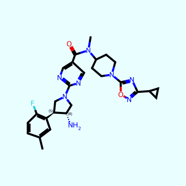 Cc1ccc(F)c([C@H]2CN(c3ncc(C(=O)N(C)C4CCN(c5nc(C6CC6)no5)CC4)cn3)C[C@@H]2N)c1